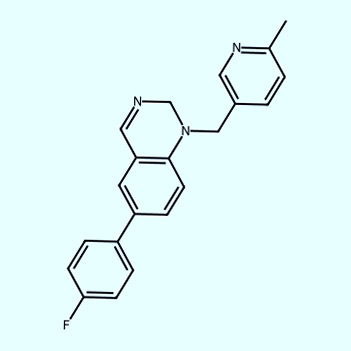 Cc1ccc(CN2CN=Cc3cc(-c4ccc(F)cc4)ccc32)cn1